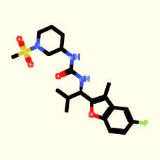 Cc1c([C@H](NC(=O)NC2CCCN(S(C)(=O)=O)C2)C(C)C)oc2ccc(F)cc12